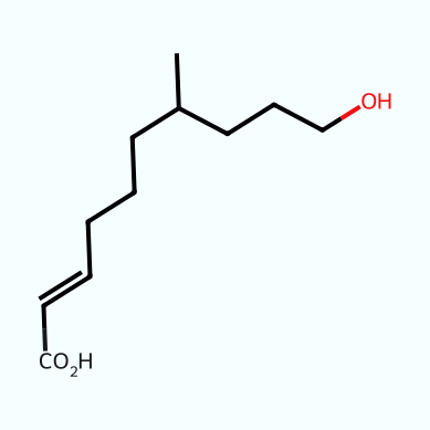 CC(CCCO)CCCC=CC(=O)O